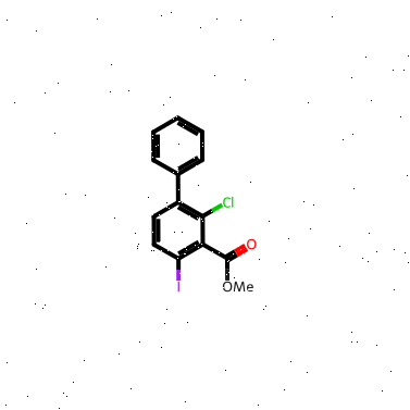 COC(=O)c1c(I)ccc(-c2ccccc2)c1Cl